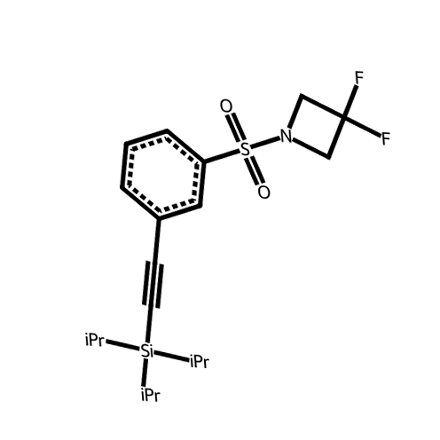 CC(C)[Si](C#Cc1cccc(S(=O)(=O)N2CC(F)(F)C2)c1)(C(C)C)C(C)C